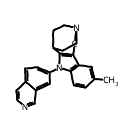 Cc1ccc2c(c1)c1c(n2-c2ccc3ccncc3c2)C2CCN(CC2)C1